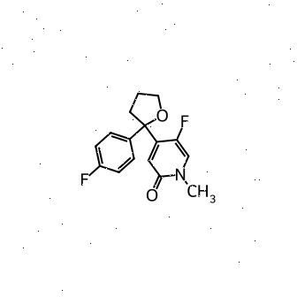 Cn1cc(F)c(C2(c3ccc(F)cc3)CCCO2)cc1=O